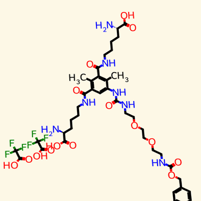 Cc1c(NC(=O)NCCOCCOCCNC(=O)OCc2ccccc2)cc(C(=O)NCCCC[C@H](N)C(=O)O)c(C)c1C(=O)NCCCC[C@H](N)C(=O)O.O=C(O)C(F)(F)F.O=C(O)C(F)(F)F